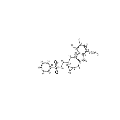 Cc1nc(N)c2nc(CC3CC3)n(CCCCS(=O)(=O)c3ccccc3)c2c1C